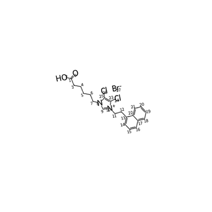 O=C(O)CCCCCn1c[n+](CCc2cccc3ccccc23)c(Cl)c1Cl.[Br-]